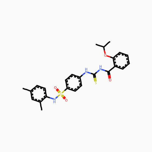 Cc1ccc(NS(=O)(=O)c2ccc(NC(=S)NC(=O)c3ccccc3OC(C)C)cc2)c(C)c1